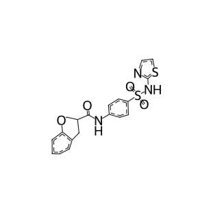 O=C(Nc1ccc(S(=O)(=O)Nc2nccs2)cc1)C1COc2ccccc2C1